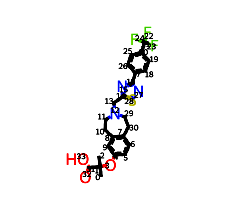 CC(C)(Oc1ccc2c(c1)CCN(Cc1nc(-c3ccc(C(F)(F)F)cc3)ns1)CC2)C(=O)O